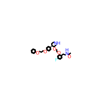 CC(=O)NCCc1ccc(F)cc1OCCO[C@H]1CNCC[C@@H]1c1ccc(OCCCOc2ccccc2)cc1